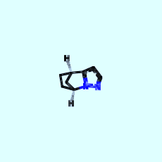 c1cc2n(n1)[C@H]1CC[C@@H]2C1